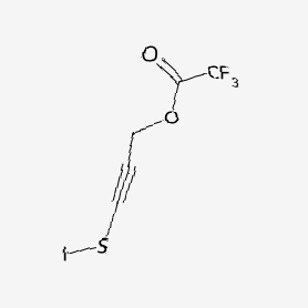 O=C(OCC#CSI)C(F)(F)F